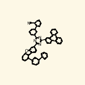 N#Cc1ccccc1-c1cccc(-c2nc(-c3ccc4c(c3)oc3cccc(-c5cccc(-c6ccccc6)c5)c34)nc(-c3ccc4c5ccccc5c5ccccc5c4c3)n2)c1